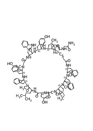 CCCC[C@H]1C(=O)N(C)CC(=O)N[C@@H](CC(=O)O)C(=O)N[C@@H](CCC(C)C)C(=O)N(C)[C@@H](Cc2ccccc2)C(=O)N[C@@H](Cc2ccc(O)cc2)C(=O)N(C)CC(=O)N[C@@H](Cc2c[nH]c3ccccc23)C(=O)N[C@@H](Cc2ccc(O)cc2)C(=O)N[C@@H](CC(C)C)C(=O)N[C@H](C(=O)NCC(N)=O)CSCC(=O)N[C@@H](Cc2ccccc2)C(=O)N(C)[C@@H](Cc2ccccc2)C(=O)N1C